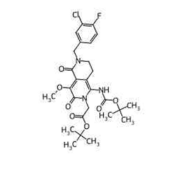 COc1c2c(c(NC(=O)OC(C)(C)C)n(CC(=O)OC(C)(C)C)c1=O)CCN(Cc1ccc(F)c(Cl)c1)C2=O